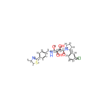 CC1CSC(c2ccc(CNC(=O)[C@H](O)[C@@H](O)C(=O)N3CCCC3c3cccc(Cl)c3)cc2)=N1